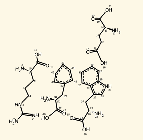 N=C(N)NCCC[C@H](N)C(=O)O.N[C@@H](CCC(=O)O)C(=O)O.N[C@@H](Cc1c[nH]c2ccccc12)C(=O)O.N[C@@H](Cc1ccccc1)C(=O)O